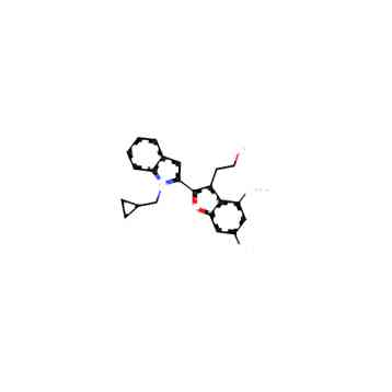 COc1cc(C=O)cc2oc(-c3cc4ccccc4n3CC3CC3)c(CCO)c12